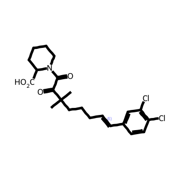 CC(C)(CCC/C=C/c1ccc(Cl)c(Cl)c1)C(=O)C(=O)N1CCCCC1C(=O)O